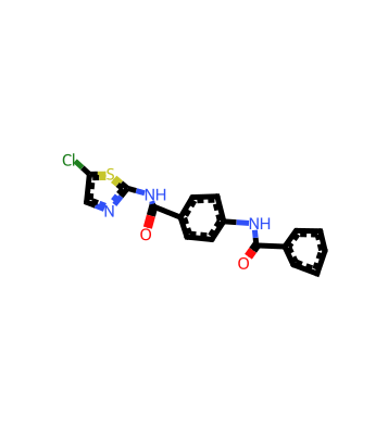 O=C(Nc1ccc(C(=O)Nc2ncc(Cl)s2)cc1)c1ccccc1